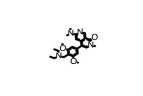 CCN(CC)Cc1c(OC)cc(-c2cn(C)c(=O)c3cnc(N(C)C)cc23)cc1OC